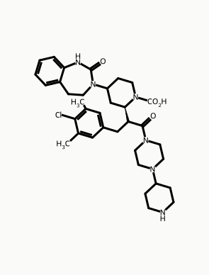 Cc1cc(CC(C(=O)N2CCN(C3CCNCC3)CC2)[C@H]2CC(N3CCc4ccccc4NC3=O)CCN2C(=O)O)cc(C)c1Cl